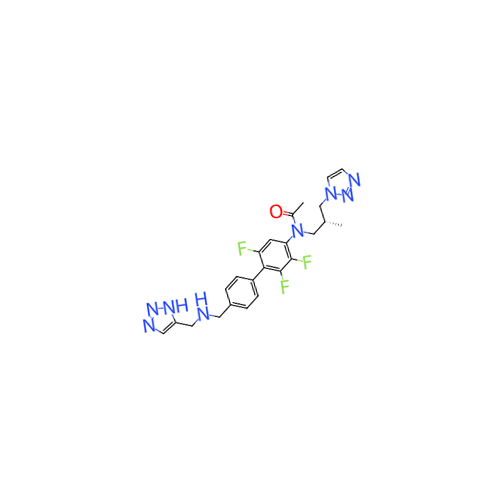 CC(=O)N(C[C@@H](C)Cn1ccnn1)c1cc(F)c(-c2ccc(CNCc3cnn[nH]3)cc2)c(F)c1F